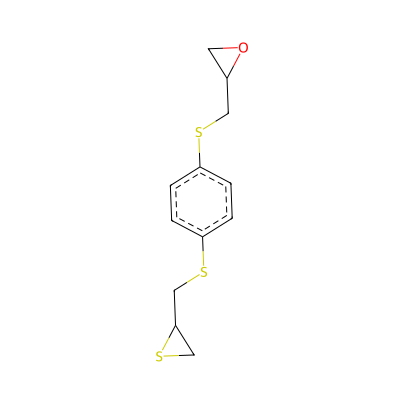 c1cc(SCC2CS2)ccc1SCC1CO1